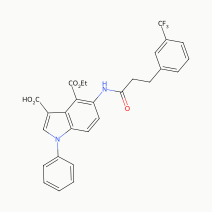 CCOC(=O)c1c(NC(=O)CCc2cccc(C(F)(F)F)c2)ccc2c1c(C(=O)O)cn2-c1ccccc1